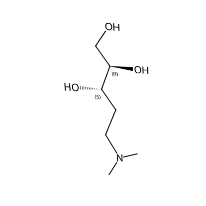 CN(C)CC[C@H](O)[C@H](O)CO